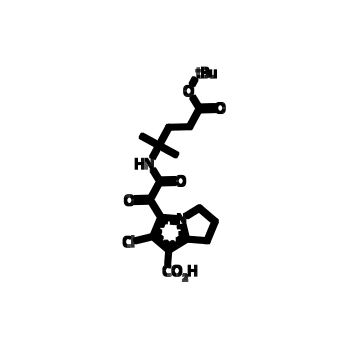 CC(C)(CCC(=O)OC(C)(C)C)NC(=O)C(=O)c1c(Cl)c(C(=O)O)c2n1CCC2